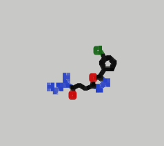 NNC(=O)CCc1nnc(-c2cccc(Cl)c2)o1